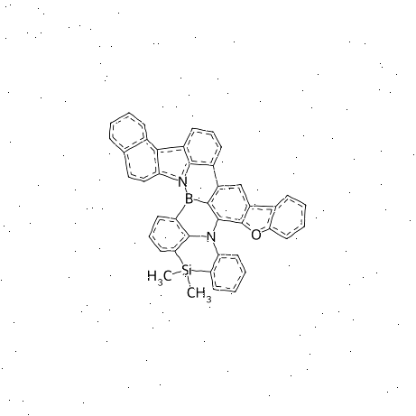 C[Si]1(C)c2ccccc2N2c3c(cccc31)B1c3c(cc4c(oc5ccccc54)c32)-c2cccc3c4c5ccccc5ccc4n1c23